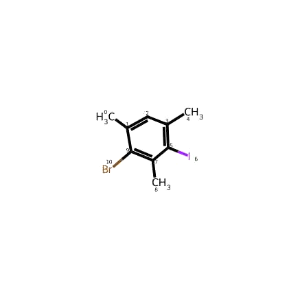 Cc1cc(C)c(I)c(C)c1Br